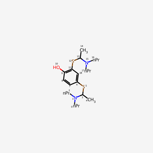 CCCN(CCC)C(C)Sc1ccc(O)c(SC(C)N(CCC)CCC)c1